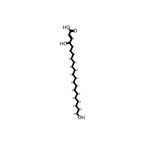 O=C(O)C=CC(O)CCCCCCCCCCCCCCCCCCO